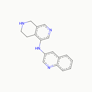 c1ccc2ncc(Nc3cncc4c3CCNC4)cc2c1